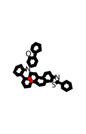 c1ccc(-c2nc3ccc4c5cc(N(c6ccc7c(c6)oc6ccccc67)c6ccccc6-c6ccccc6)ccc5ccc4c3s2)cc1